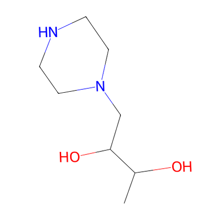 CC(O)C(O)CN1CCNCC1